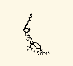 CCCCCCCCc1ccc(OCC(=O)Cn2cc(C(=O)OC)c3cc(OC(=O)O)ccc32)cc1